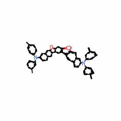 Cc1ccc(N(c2cccc(C)c2)c2ccc3cc4c(cc3c2)oc2cc3oc5cc6cc(N(c7ccc(C)cc7)c7cccc(C)c7)ccc6cc5c3cc24)cc1